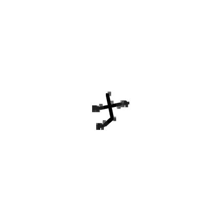 [CH2]C(C)C(C)(CC)CC(C)C